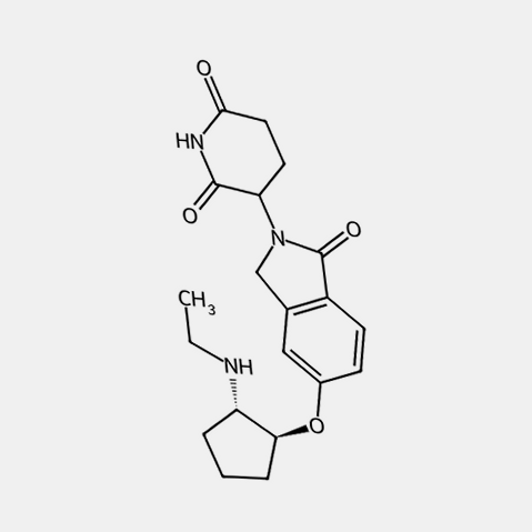 CCN[C@H]1CCC[C@@H]1Oc1ccc2c(c1)CN(C1CCC(=O)NC1=O)C2=O